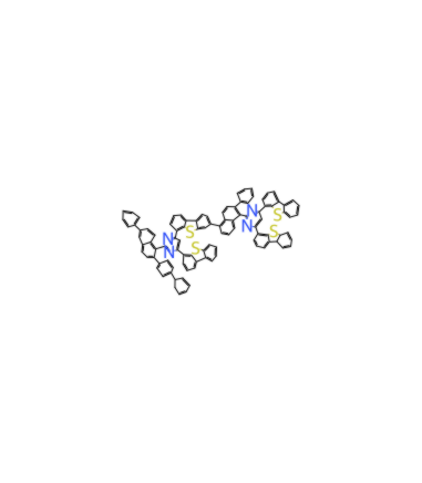 C1=CCC(c2ccc(-c3ccc4cc(-c5ccccc5)ccc4c3-c3nc(-c4cccc5c4sc4ccccc45)cc(-c4cccc5c4sc4cc(-c6cccc7c(-c8nc(-c9cccc%10c9SC9C=CC=CC%109)cc(-c9cccc%10c9sc9ccccc9%10)n8)c(-c8ccccc8)ccc67)ccc45)n3)cc2)C=C1